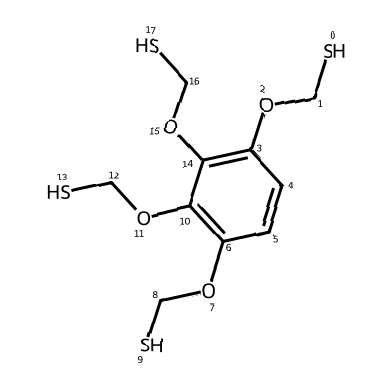 SCOc1ccc(OCS)c(OCS)c1OCS